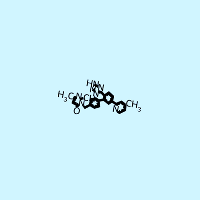 Cc1ccnc(-c2ccc(-c3nn[nH]n3)c(-c3ccc(Cn4c(C)nc(C)cc4=O)cc3)c2)c1